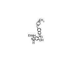 CCNc1n[nH]c2cc(O)c(C(=O)N3Cc4ccc(CN5CCN(C)CC5)cc4C3)cc12